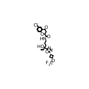 C=CC(O)(CCCNC(=O)C1CC(=O)c2cc(Cl)ccc2O1)c1nnc([C@H]2C[C@@H](OC(F)(F)F)C2)o1